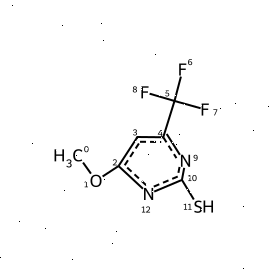 COc1cc(C(F)(F)F)nc(S)n1